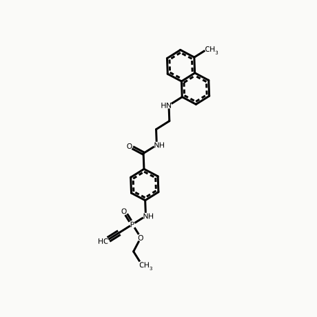 C#CP(=O)(Nc1ccc(C(=O)NCCNc2cccc3c(C)cccc23)cc1)OCC